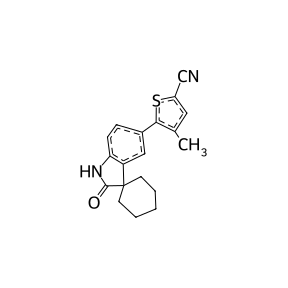 Cc1cc(C#N)sc1-c1ccc2c(c1)C1(CCCCC1)C(=O)N2